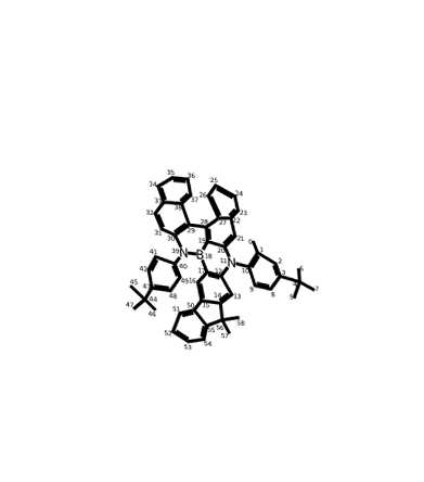 Cc1cc(C(C)(C)C)ccc1N1c2cc3c(cc2B2c4c1cc1ccccc1c4-c1c(ccc4ccccc14)N2c1ccc(C(C)(C)C)cc1)-c1ccccc1C3(C)C